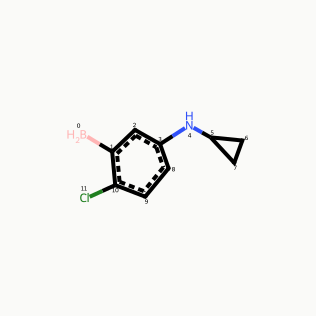 Bc1cc(NC2CC2)ccc1Cl